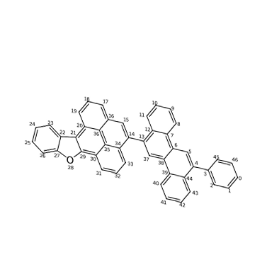 c1ccc(-c2cc3c4ccccc4c(-c4cc5cccc6c7c8ccccc8oc7c7cccc4c7c56)cc3c3ccccc23)cc1